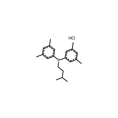 Cc1cc(C)cc(P(CCC(C)C)c2cc(C)cc(C)c2)c1.Cl